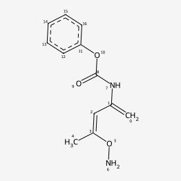 C=C(/C=C(/C)ON)NC(=O)Oc1ccccc1